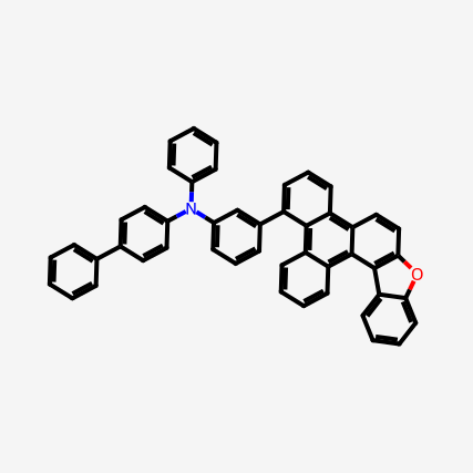 c1ccc(-c2ccc(N(c3ccccc3)c3cccc(-c4cccc5c6ccc7oc8ccccc8c7c6c6ccccc6c45)c3)cc2)cc1